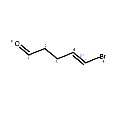 O=CCC/C=C/Br